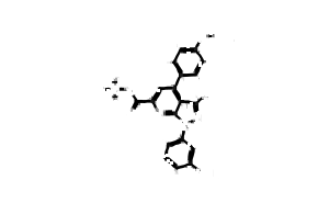 COc1ccc(-c2cc(C(=O)NS(C)(=O)=O)nc3c2c(C)nn3-c2cccc(C)c2)cc1